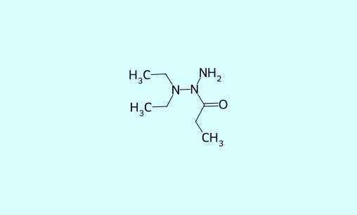 CCC(=O)N(N)N(CC)CC